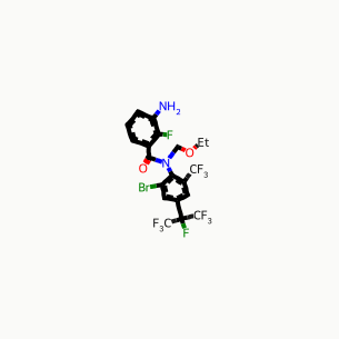 CCOCN(C(=O)c1cccc(N)c1F)c1c(Br)cc(C(F)(C(F)(F)F)C(F)(F)F)cc1C(F)(F)F